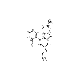 CCOC(=O)Oc1cc2cc(N)ccc2n1Cc1ccccc1F